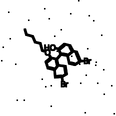 CCCCCCOc1ccc2cc(Br)ccc2c1-c1c(O)ccc2cc(Br)ccc12